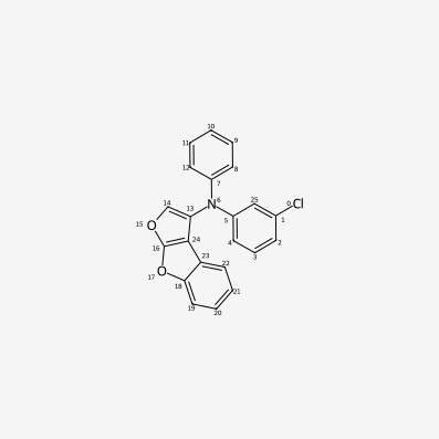 Clc1cccc(N(c2ccccc2)c2coc3oc4ccccc4c23)c1